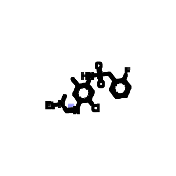 CCN(C)/C=N\c1cc(C)c(NS(=O)(=O)Cc2ccccc2F)cc1Cl